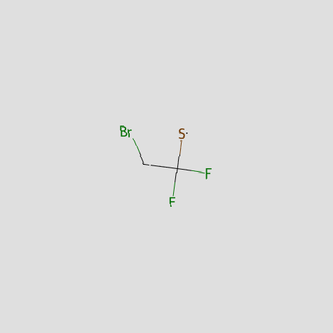 FC(F)([S])CBr